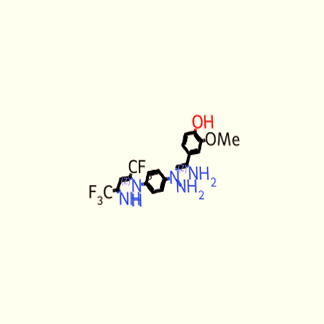 COc1cc(/C(N)=C/N(N)c2ccc(N/C(=C\C(=N)C(F)(F)F)C(F)(F)F)cc2)ccc1O